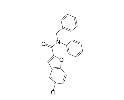 O=C(c1cc2cc(Cl)ccc2o1)N(Cc1ccccc1)c1ccccc1